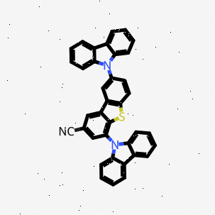 N#Cc1cc(-n2c3ccccc3c3ccccc32)c2sc3ccc(-n4c5ccccc5c5ccccc54)cc3c2c1